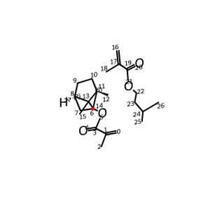 C=C(C)C(=O)OC1C[C@H]2CC[C@@]1(C)C2(C)C.C=C(C)C(=O)OCCC(C)C